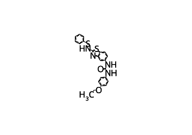 CCOc1ccc(NC(=O)Nc2ccc3sc(NSc4ccccc4)nc3c2)cc1